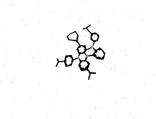 CC(C)c1ccc(N2c3ccc(C(C)C)cc3B3c4ccccc4N(c4cccc(C(C)C)c4)c4cc(C5CCCCC5)cc2c43)cc1